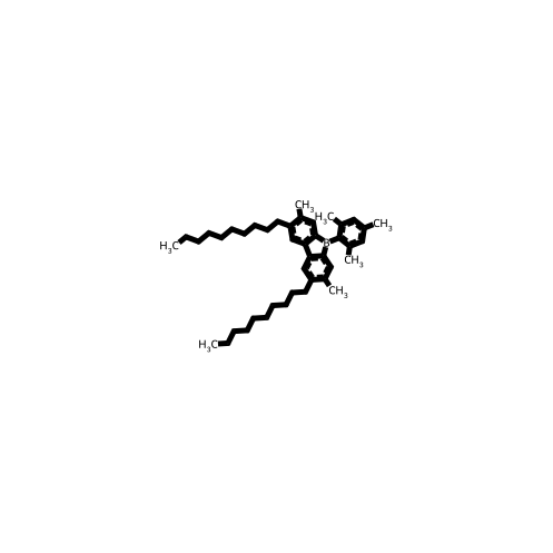 CCCCCCCCCCc1cc2c(cc1C)B(c1c(C)cc(C)cc1C)c1cc(C)c(CCCCCCCCCC)cc1-2